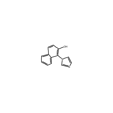 Oc1ccc2ccccc2c1-n1ccnc1